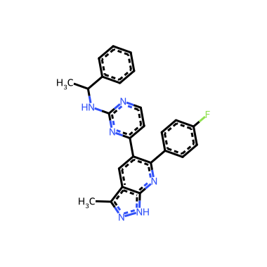 Cc1n[nH]c2nc(-c3ccc(F)cc3)c(-c3ccnc(NC(C)c4ccccc4)n3)cc12